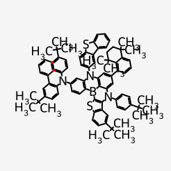 CC(C)(C)c1ccc(N(c2ccc3c(c2)N(c2ccc4sc5ccccc5c4c2)c2cc(-c4cccc5c4C(C)(C)CCC5(C)C)cc4c2B3c2sc3ccc(C(C)(C)C)cc3c2N4c2ccc(C(C)(C)C)cc2)c2ccc(C(C)(C)C)cc2-c2ccccc2)cc1